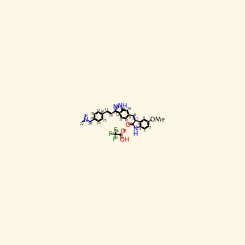 COc1ccc2c(c1)/C(=C/c1ccc3c(C=Cc4ccc(CN(C)C)cc4)n[nH]c3c1)C(=O)N2.O=C(O)C(F)(F)F